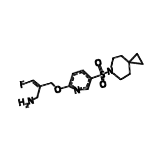 NC/C(=C\F)COc1ccc(S(=O)(=O)N2CCC3(CC2)CC3)cn1